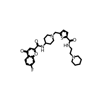 O=C(NC1CCN(Cc2ccc(C(=O)NCCN3CCCCC3)s2)CC1)c1cc(=O)c2ccc(F)cc2o1